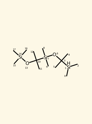 C[SiH](C)C(C)(C)O[Si](C)(C)C(C)(C)O[Si](C)(C)C